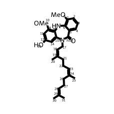 COc1cccc2c1Nc1c(OC)cc(O)cc1N(CC=C(C)CCC=C(C)CCC=C(C)C)C2=O